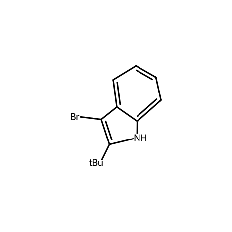 CC(C)(C)c1[nH]c2ccccc2c1Br